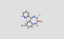 CN1C(=O)C(F)N=C(c2ccccn2)c2cc(Br)ccc21